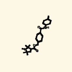 CC1CCC(NC(=O)C2CCC(COC(=O)C3CC(C)(C)N(C)C3(C)C)CC2)CC1